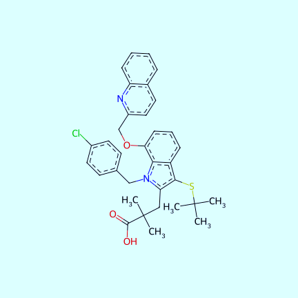 CC(C)(C)Sc1c(CC(C)(C)C(=O)O)n(Cc2ccc(Cl)cc2)c2c(OCc3ccc4ccccc4n3)cccc12